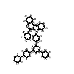 c1ccc(-c2ccc(-c3cc(-c4ccccc4)nc(-c4ccc(-n5c6ccccc6c6c7ccccc7nc(-c7ccccc7)c65)cc4)n3)cc2)cc1